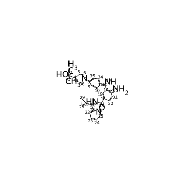 CC(C)(O)C1CCN(c2ccc(C(=N)c3cc(C(=O)NC(c4ccccn4)C4CC4)ccc3N)cc2)CC1